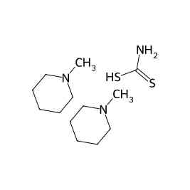 CN1CCCCC1.CN1CCCCC1.NC(=S)S